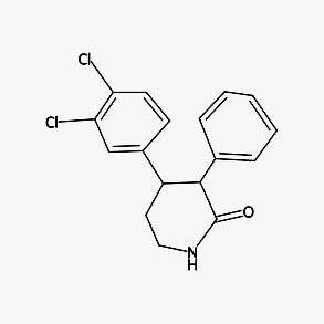 O=C1NCCC(c2ccc(Cl)c(Cl)c2)C1c1ccccc1